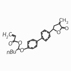 C=CC(=O)OC(CCCC)Oc1ccc(-c2ccc(C3CC(=C)C(=O)O3)cc2)cc1